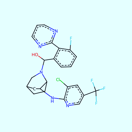 OC(c1cccc(F)c1-c1ncccn1)N1CC2CCC1C(Nc1ncc(C(F)(F)F)cc1Cl)C2